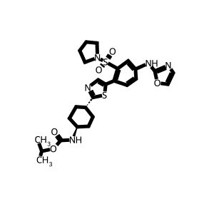 CC(C)OC(=O)N[C@H]1CC[C@H](c2ncc(-c3ccc(Nc4ncco4)cc3S(=O)(=O)N3CCCC3)s2)CC1